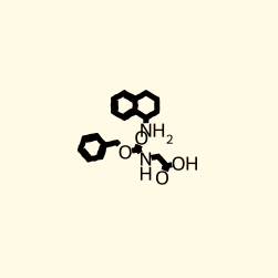 NC1CCCc2ccccc21.O=C(O)CNC(=O)OCc1ccccc1